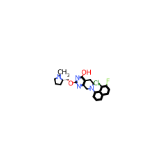 CN1CCC[C@H]1COc1nc(O)c2c(n1)CN(c1cccc3ccc(F)c(Cl)c13)CC2